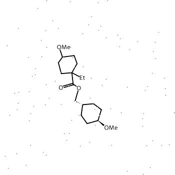 CCC1(C(=O)OC[C@H]2CC[C@H](OC)CC2)CCC(OC)CC1